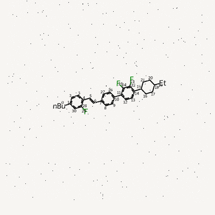 CCCCc1ccc(/C=C/c2ccc(-c3ccc(C4CCC(CC)CC4)c(F)c3F)cc2)c(F)c1